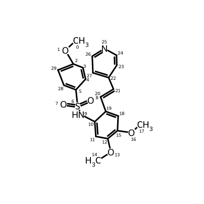 COc1ccc(S(=O)(=O)Nc2cc(OC)c(OC)cc2C=Cc2ccncc2)cc1